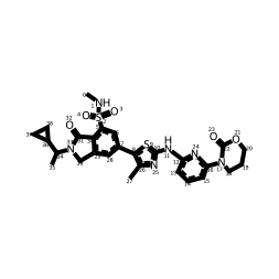 CNS(=O)(=O)c1cc(-c2sc(Nc3cccc(N4CCCOC4=O)n3)nc2C)cc2c1C(=O)N(C(C)C1CC1)C2